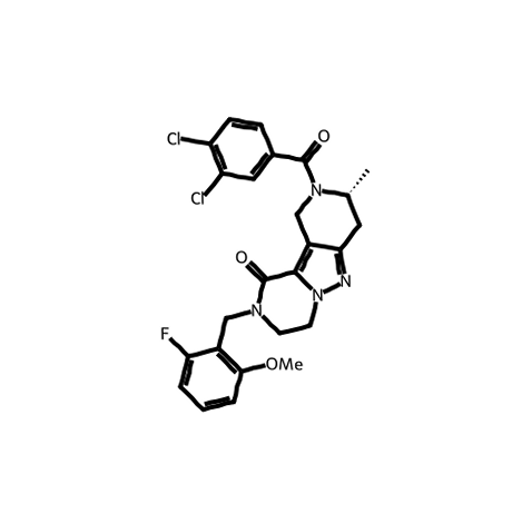 COc1cccc(F)c1CN1CCn2nc3c(c2C1=O)CN(C(=O)c1ccc(Cl)c(Cl)c1)[C@H](C)C3